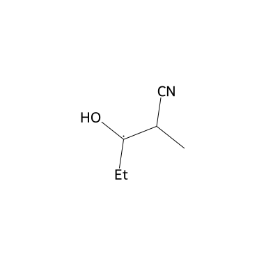 CC[C](O)C(C)C#N